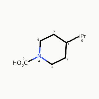 CC(C)C1CCN(C(=O)O)CC1